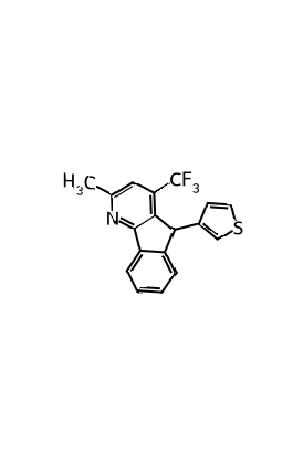 Cc1cc(C(F)(F)F)c2c(n1)-c1ccccc1C2c1ccsc1